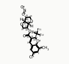 Cc1cc(Cl)cc2c1O[C@H](C(F)(F)F)C(C(=O)O[C@H]1CO[C@H]3[C@@H]1OC[C@H]3ON=O)=C2